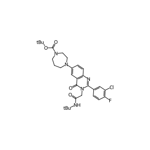 CC(C)(C)NC(=O)Cn1c(-c2ccc(F)c(Cl)c2)nc2ccc(N3CCCN(C(=O)OC(C)(C)C)CC3)cc2c1=O